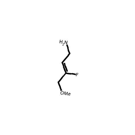 COCC(F)=CCN